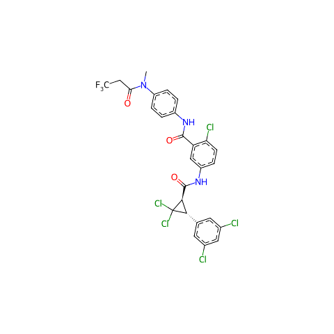 CN(C(=O)CC(F)(F)F)c1ccc(NC(=O)c2cc(NC(=O)[C@H]3[C@H](c4cc(Cl)cc(Cl)c4)C3(Cl)Cl)ccc2Cl)cc1